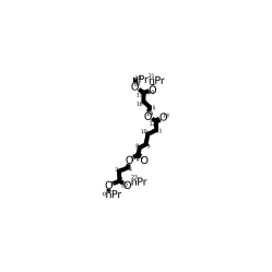 CCCOC(CCOC(=O)CCCCC(=O)OCCC(OCCC)OCCC)OCCC